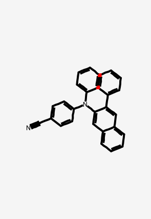 N#Cc1ccc(N(c2ccccc2)c2cc3ccccc3cc2-c2ccccc2)cc1